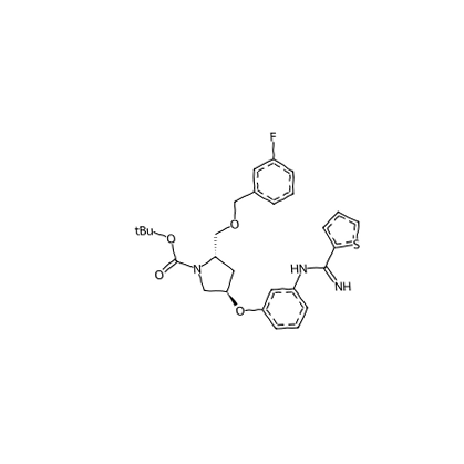 CC(C)(C)OC(=O)N1C[C@H](Oc2cccc(NC(=N)c3cccs3)c2)C[C@H]1COCc1cccc(F)c1